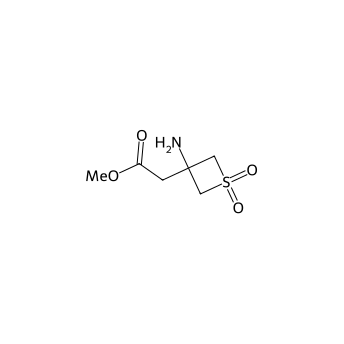 COC(=O)CC1(N)CS(=O)(=O)C1